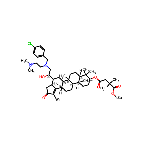 CC(C)C1=C2C(CC1=O)C([C@@H](O)CN(CCN(C)C)Cc1ccc(Cl)cc1)C[C@]1(C)[C@@H]2CC[C@@H]2[C@@]3(C)CC[C@H](OC(=O)CC(C)(C)C(=O)OC(C)(C)C)C(C)(C)[C@@H]3CC[C@]21C